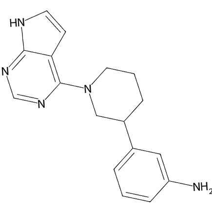 Nc1cccc(C2CCCN(c3ncnc4[nH]ccc34)C2)c1